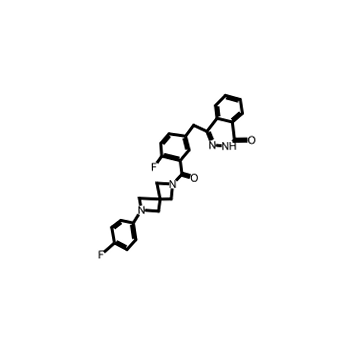 O=C(c1cc(Cc2n[nH]c(=O)c3ccccc23)ccc1F)N1CC2(C1)CN(c1ccc(F)cc1)C2